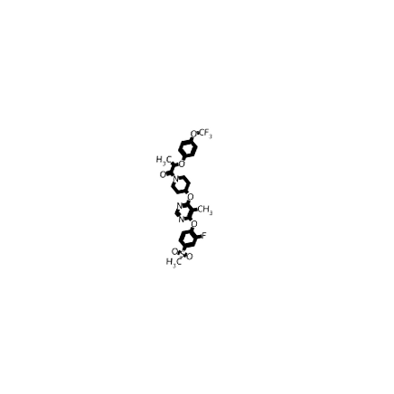 Cc1c(Oc2ccc(S(C)(=O)=O)cc2F)ncnc1OC1CCN(C(=O)C(C)Oc2ccc(OC(F)(F)F)cc2)CC1